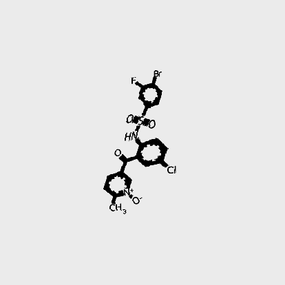 Cc1ccc(C(=O)c2cc(Cl)ccc2NS(=O)(=O)c2ccc(Br)c(F)c2)c[n+]1[O-]